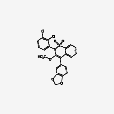 O=C(O)OC1=C(c2ccc3c(c2)OCO3)c2ccccc2S(=O)(=O)N1c1cccc(Cl)c1Cl